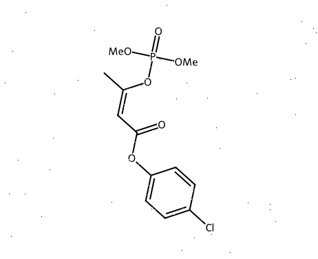 COP(=O)(OC)OC(C)=CC(=O)Oc1ccc(Cl)cc1